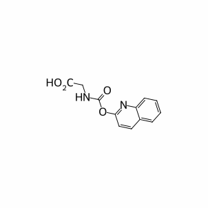 O=C(O)CNC(=O)Oc1ccc2ccccc2n1